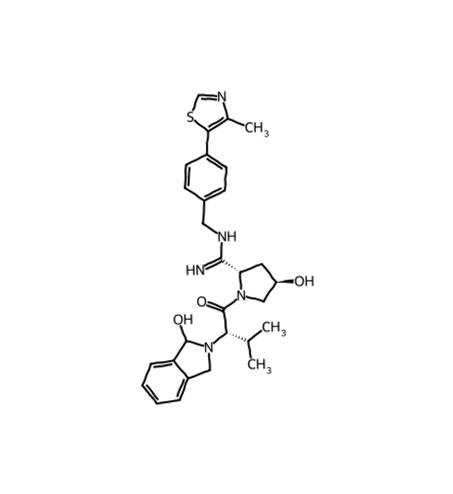 Cc1ncsc1-c1ccc(CNC(=N)[C@@H]2C[C@@H](O)CN2C(=O)[C@H](C(C)C)N2Cc3ccccc3C2O)cc1